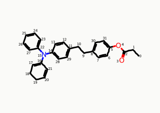 CCC(=O)Oc1ccc(CCc2ccc(N(C3=CCCC=C3)c3ccccc3)cc2)cc1